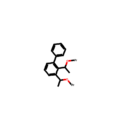 CC(C)OC(C)c1cccc(-c2ccccc2)c1C(C)OC(C)C